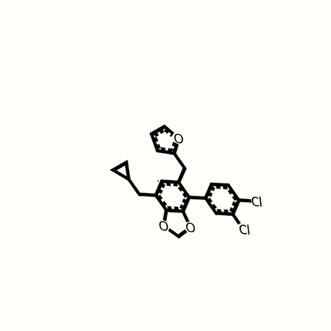 Clc1ccc(-c2c(Cc3ccco3)[c]c(CC3CC3)c3c2OCO3)cc1Cl